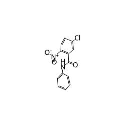 O=C(Nc1ccccc1)c1cc(Cl)ccc1[N+](=O)[O-]